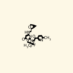 Cc1ccc(C(=O)CN2c3nc(NC[C@H]4OCC5CC54)cc(=O)n3C[C@@]2(C)C(F)(F)F)cn1